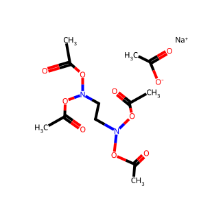 CC(=O)ON(CCN(OC(C)=O)OC(C)=O)OC(C)=O.CC(=O)[O-].[Na+]